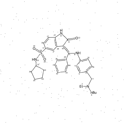 CCCCN(CC)Cc1ccc(N/C(=C2\C(=O)Nc3ccc(S(=O)(=O)NC4CCCC4)cc32)c2ccccc2)cc1